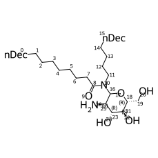 CCCCCCCCCCCCCCCCCC(=O)N(CCCCCCCCCCCCCC)C1O[C@H](CO)[C@@H](O)[C@H](O)[C@H]1N